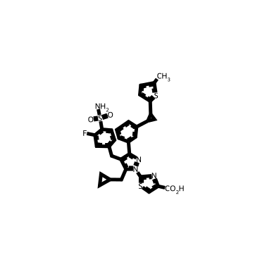 Cc1ccc(C2CC2c2cccc(-c3nn(-c4nc(C(=O)O)cs4)c(CC4CC4)c3Cc3ccc(S(N)(=O)=O)c(F)c3)c2)s1